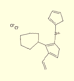 C=CC1=CC[C]([Zr+2][C]2=CC=CC2)=C1C1CCCCC1.[Cl-].[Cl-]